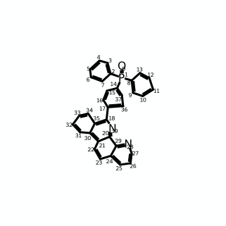 O=P(c1ccccc1)(c1ccccc1)c1ccc(-c2nc3c(ccc4cccnc43)c3ccccc23)cc1